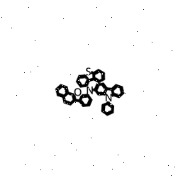 c1ccc(-n2c3ccccc3c3ccc(N(c4cccc5c4oc4c6ccccc6ccc54)c4cccc5sc6ccccc6c45)cc32)cc1